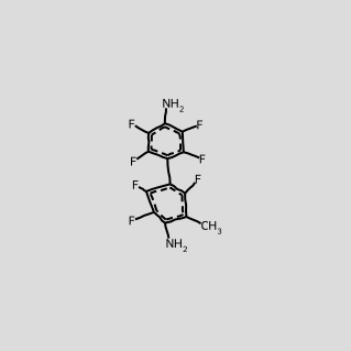 Cc1c(N)c(F)c(F)c(-c2c(F)c(F)c(N)c(F)c2F)c1F